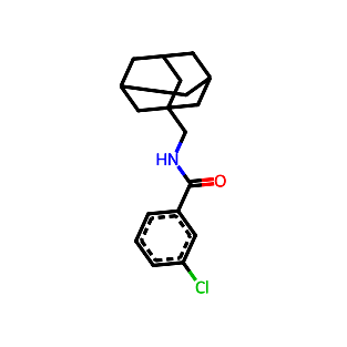 O=C(NCC12CC3CC(CC(C3)C1)C2)c1cccc(Cl)c1